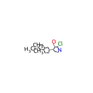 CC(C)(C)c1ccc2cc(-c3ccnc(Cl)c3C=O)ccc2c1